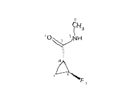 CNC(=O)[C@H]1C[C@@H]1F